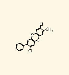 Cc1cc2c(cc1Cl)Sc1cc(-c3ccccc3)c(Cl)cc1S2